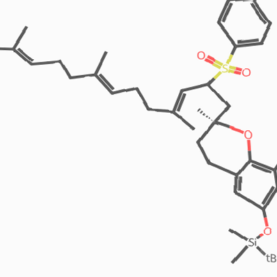 CC(C)=CCC/C(C)=C/CC/C(C)=C/C(C[C@]1(C)CCc2cc(O[Si](C)(C)C(C)(C)C)cc(C)c2O1)S(=O)(=O)c1ccccc1